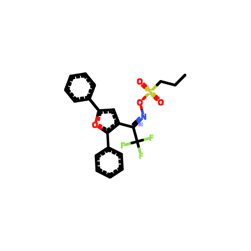 CCCS(=O)(=O)O/N=C(\c1cc(-c2ccccc2)oc1-c1ccccc1)C(F)(F)F